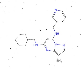 Bc1cnn2c(NCc3cccnc3)cc(NCC3CCCCC3)nc12